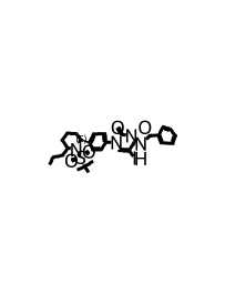 CCCC1CCC[C@@H](c2ccc(-n3cc(I)c(NC(=O)c4ccccc4)nc3=O)cc2)N1S(=O)(=O)C(C)(C)C